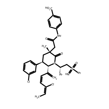 C=C(/C=C\C(Cl)=C/C)[C@@H]1[C@@H](c2cccc(Cl)c2)C[C@](C)(CC(=O)Nc2ccc(C(=O)O)cc2)C(=O)N1[C@H](CS(=N)(=O)C(C)C)C(C)C